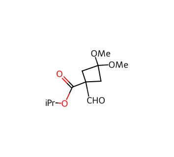 COC1(OC)CC(C=O)(C(=O)OC(C)C)C1